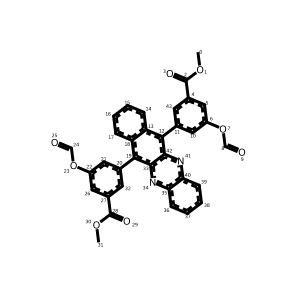 COC(=O)c1cc(OC=O)cc(-c2c3ccccc3c(-c3cc(OC=O)cc(C(=O)OC)c3)c3nc4ccccc4nc23)c1